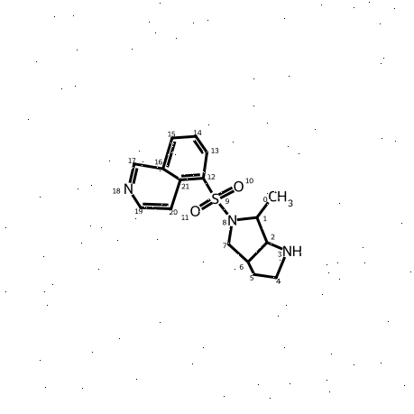 CC1C2NCCC2CN1S(=O)(=O)c1cccc2cnccc12